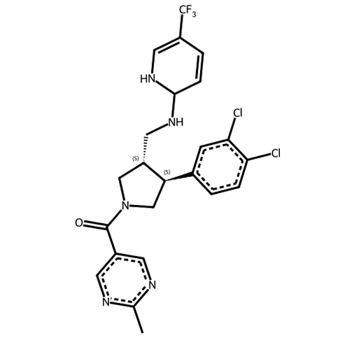 Cc1ncc(C(=O)N2C[C@H](CNC3C=CC(C(F)(F)F)=CN3)[C@@H](c3ccc(Cl)c(Cl)c3)C2)cn1